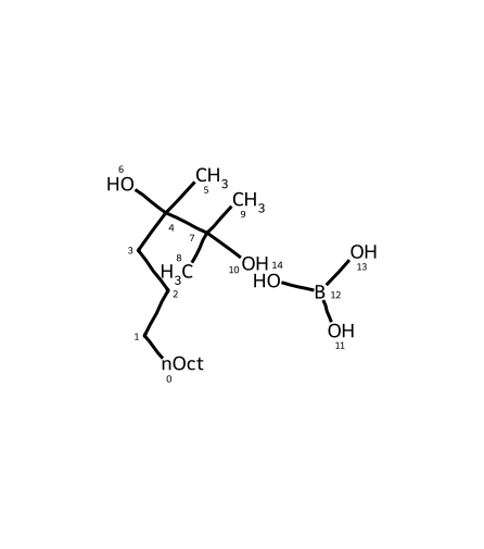 CCCCCCCCCCCC(C)(O)C(C)(C)O.OB(O)O